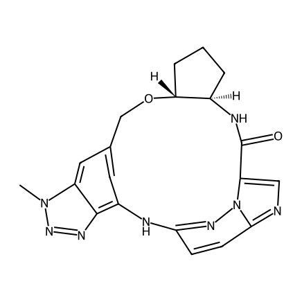 Cn1nnc2c3cc(cc21)CO[C@@H]1CCC[C@H]1NC(=O)c1cnc2ccc(nn12)N3